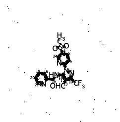 CS(=O)(=O)c1ccc(-n2nc(C(F)(F)F)c(C=O)c2NCc2ccccn2)nc1